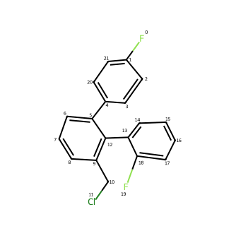 Fc1ccc(-c2cccc(CCl)c2-c2ccccc2F)cc1